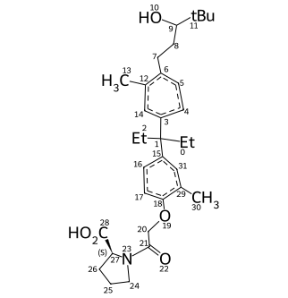 CCC(CC)(c1ccc(CCC(O)C(C)(C)C)c(C)c1)c1ccc(OCC(=O)N2CCC[C@H]2C(=O)O)c(C)c1